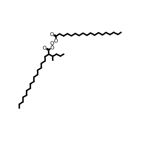 CCCCCCCCCCCCCCCCCC(=O)OOOC(=O)C(CCCCCCCCCCCCCCCC)C(C)CCC